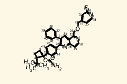 CC(C)(C)C1CCC1(OC(N)=O)c1ccc(-c2nc3ccnc(COCc4ccnc(F)c4)c3cc2-c2ccccc2)cc1